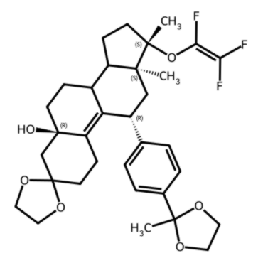 CC1(c2ccc([C@H]3C[C@@]4(C)C(CC[C@]4(C)OC(F)=C(F)F)C4CC[C@@]5(O)CC6(CCC5=C43)OCCO6)cc2)OCCO1